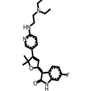 CCN(CC)CCNc1ccc(C2=CC(=C3C(=O)Nc4cc(F)ccc43)OC2(C)C)cn1